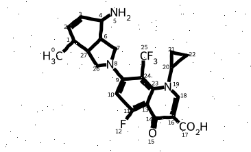 CC1C=CC(N)C2CN(c3cc(F)c4c(=O)c(C(=O)O)cn(C5CC5)c4c3C(F)(F)F)CC12